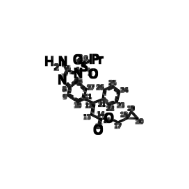 CC(C)S(=O)(=O)n1c(N)nc2ccc(C(=CC(=O)OCC3CC3)c3ccccc3)cc21